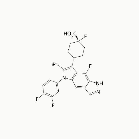 CC(C)c1c([C@H]2CC[C@](F)(C(=O)O)CC2)c2c(F)c3[nH]ncc3cc2n1-c1ccc(F)c(F)c1